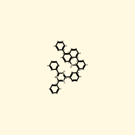 c1ccc(-c2nc(-c3ccccc3)nc(-c3cccc(-c4cccc5c4Oc4ccc(-c6ccccc6)c6cccc-5c46)c3)n2)cc1